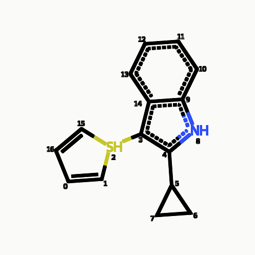 C1=C[SH](c2c(C3CC3)[nH]c3ccccc23)C=C1